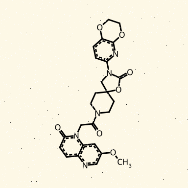 COc1cnc2ccc(=O)n(CC(=O)N3CCC4(CC3)CN(c3ccc5c(n3)OCCO5)C(=O)O4)c2c1